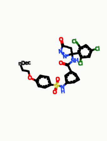 CCCCCCCCCCCCOc1ccc(S(=O)(=O)Nc2cccc(C(=O)NC3(c4c(Cl)cc(Cl)cc4Cl)CC(=O)N=N3)c2)cc1